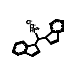 [Cl-].[Cl-].[Hf+2][CH](C1C=Cc2ccccc21)C1C=Cc2ccccc21